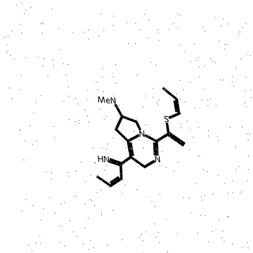 C=C(S/C=C\C)C1=NCC(C(=N)/C=C\C)=C2CC(NC)CN12